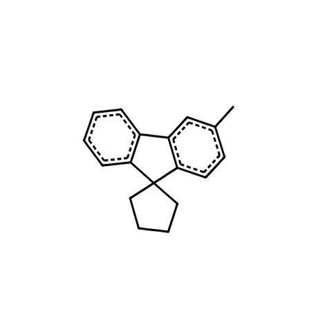 Cc1ccc2c(c1)-c1ccccc1C21CCCC1